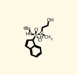 C[SiH](CCO)[Zr]([Cl])([Cl])([NH]C(C)(C)C)[CH]1C=Cc2ccccc21